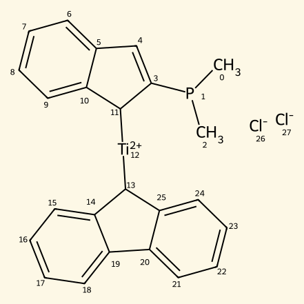 CP(C)C1=Cc2ccccc2[CH]1[Ti+2][CH]1c2ccccc2-c2ccccc21.[Cl-].[Cl-]